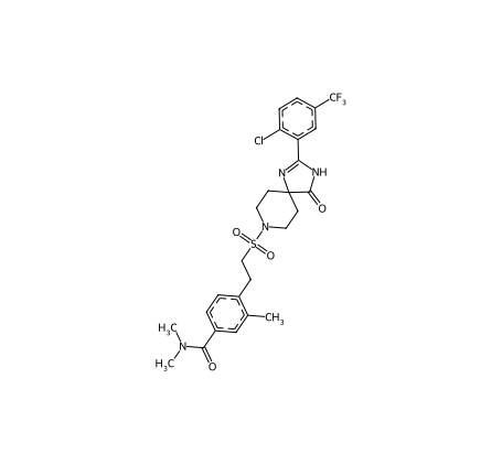 Cc1cc(C(=O)N(C)C)ccc1CCS(=O)(=O)N1CCC2(CC1)N=C(c1cc(C(F)(F)F)ccc1Cl)NC2=O